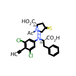 C#Cc1c(Cl)cc(N[C@@H](Cc2ccccc2)C(=O)O)cc1Cl.CC(=O)N1CC(=S)C[C@H]1C(=O)O